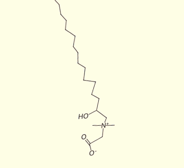 CCCCCCCCCCCCCCC(O)C[N+](C)(C)CC(=O)[O-]